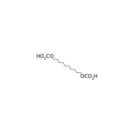 O=C(O)OCCCCCCCCCCOC(=O)O